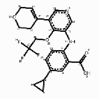 O=C(O)c1cc(C2CC2)ccc1Nc1cncc(C2=CCOCC2)c1OCC(F)(F)F